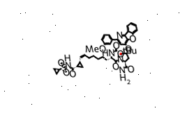 COc1cccc(-c2cc(O[C@@H]3C[C@@H](C(N)=O)N(C(=O)[C@H](CCCCC/C=C\[C@@H]4C[C@@H]4C(=O)NS(=O)(=O)C4CC4)NC(=O)OC(C)(C)C)C3)c3oc4ccccc4c3n2)c1